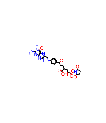 Nc1nc2ncc(CNc3ccc(C(=O)CCC(CCC(=O)ON4C(=O)CCC4=O)C(=O)O)cc3)nc2c(=O)[nH]1